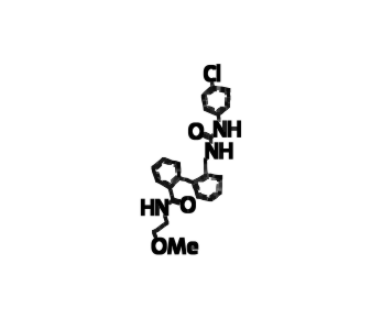 COCCNC(=O)c1ccccc1-c1ccccc1CNC(=O)Nc1ccc(Cl)cc1